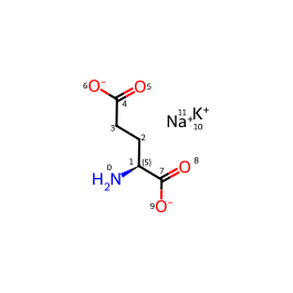 N[C@@H](CCC(=O)[O-])C(=O)[O-].[K+].[Na+]